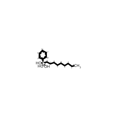 CCCCCCCCCP(O)(O)(O)c1ccccc1